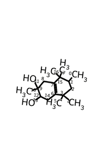 CC1CC(C)(C)C2=C(CC(C)(O)C(O)C2)C1(C)C